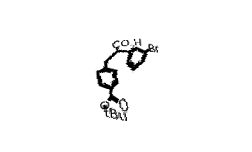 CC(C)(C)OC(=O)c1ccc(C[C@@H](C(=O)O)c2cccc(Br)c2)cc1